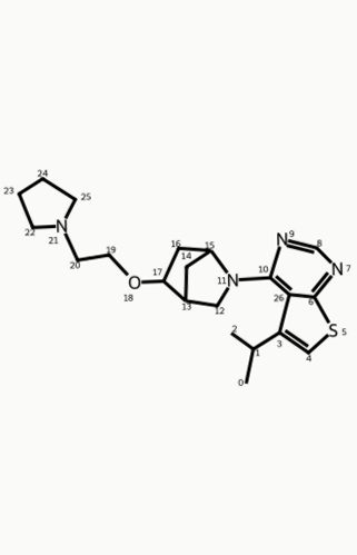 CC(C)c1csc2ncnc(N3CC4CC3CC4OCCN3CCCC3)c12